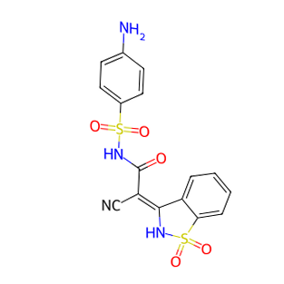 N#CC(C(=O)NS(=O)(=O)c1ccc(N)cc1)=C1NS(=O)(=O)c2ccccc21